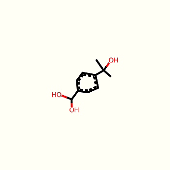 CC(C)(O)c1ccc(C(O)O)cc1